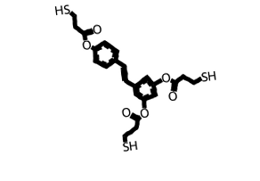 O=C(CCS)Oc1ccc(/C=C/c2cc(OC(=O)CCS)cc(OC(=O)CCS)c2)cc1